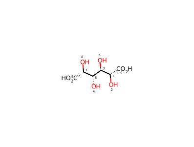 O=C(O)[C@H](O)[C@H](O)[C@H](O)[C@@H](O)C(=O)O